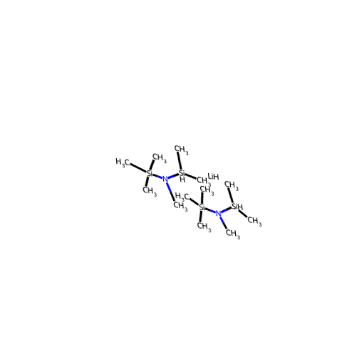 CN([SiH](C)C)[Si](C)(C)C.CN([SiH](C)C)[Si](C)(C)C.[LiH]